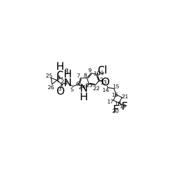 CC1(C(=O)NCc2cc3cc(Cl)c(OCCC4CC(F)(F)C4)cc3[nH]2)CC1